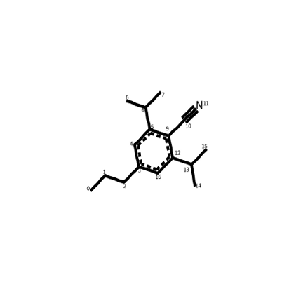 CCCc1cc(C(C)C)c(C#N)c(C(C)C)c1